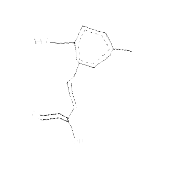 Cc1ccc(F)cc1C=CC(=O)O